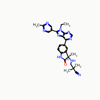 CCn1c(-c2cnc(C)nc2)nc2c(-c3ccc4c(c3)[C@](C)(NCC(C)(C)C#N)C(=O)N4)ncnc21